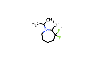 CC(C)N1CCCCC(F)(F)C1C